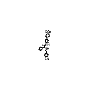 CS(=O)(=O)N1CCN(c2ccc(NC(=O)[C@H](NCCc3ccc(C#N)cc3)c3ccccc3)nc2)CC1